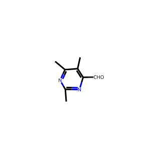 Cc1nc(C)c(C)c(C=O)n1